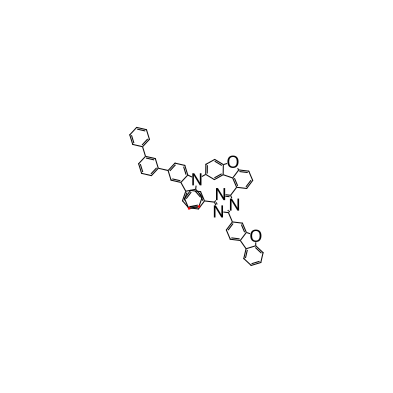 c1ccc(-c2cccc(-c3ccc4c(c3)c3ccccc3n4-c3ccc4oc5cccc(-c6nc(-c7ccccc7)nc(-c7ccc8c(c7)oc7ccccc78)n6)c5c4c3)c2)cc1